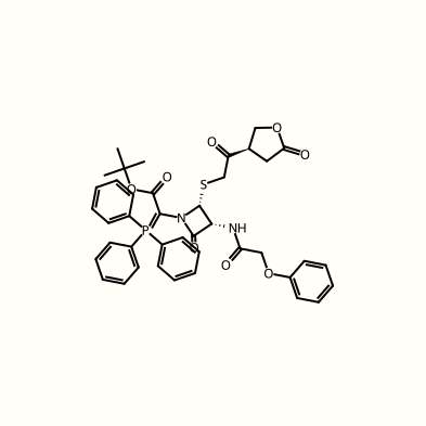 CC(C)(C)OC(=O)C(N1C(=O)[C@@H](NC(=O)COc2ccccc2)[C@H]1SCC(=O)[C@H]1COC(=O)C1)=P(c1ccccc1)(c1ccccc1)c1ccccc1